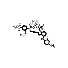 COc1cc(S(C)(=O)=O)ccc1N(CC#Cc1cc2c(NC3CCC(N)CC3F)cccc2n1CC(F)(F)F)C(=O)OC(C)(C)C